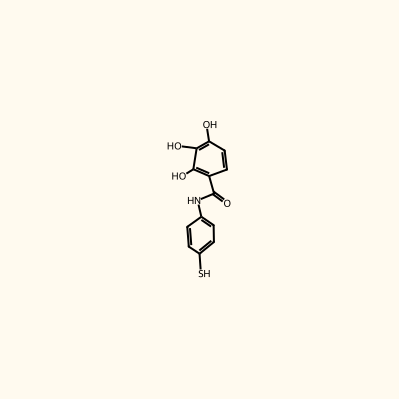 O=C(Nc1ccc(S)cc1)c1ccc(O)c(O)c1O